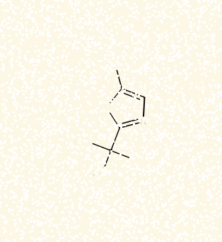 CC(C)(C)c1ncc(F)s1